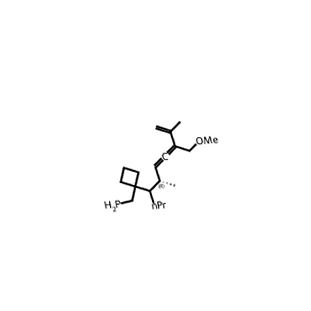 C=C(C)C(=C=C[C@H](C)C(CCC)C1(CP)CCC1)COC